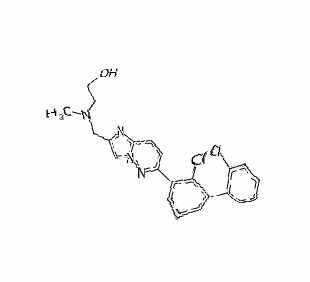 CN(CCO)Cc1cn2nc(-c3cccc(-c4ccccc4Cl)c3Cl)ccc2n1